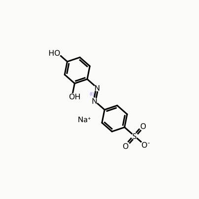 O=S(=O)([O-])c1ccc(/N=N/c2ccc(O)cc2O)cc1.[Na+]